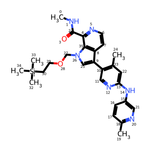 CNC(=O)c1nccc2c(-c3cnc(Nc4ccc(C)nc4)cc3C)cn(COCC[Si](C)(C)C)c12